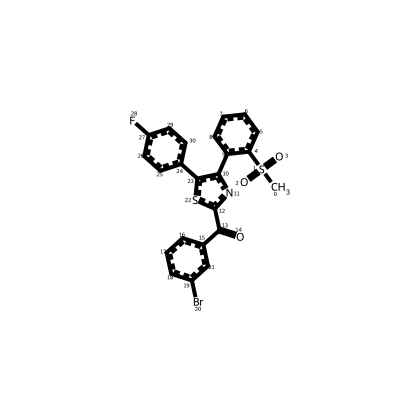 CS(=O)(=O)c1ccccc1-c1nc(C(=O)c2cccc(Br)c2)sc1-c1ccc(F)cc1